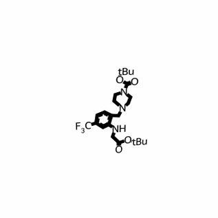 CC(C)(C)OC(=O)CNc1cc(C(F)(F)F)ccc1CN1CCN(C(=O)OC(C)(C)C)CC1